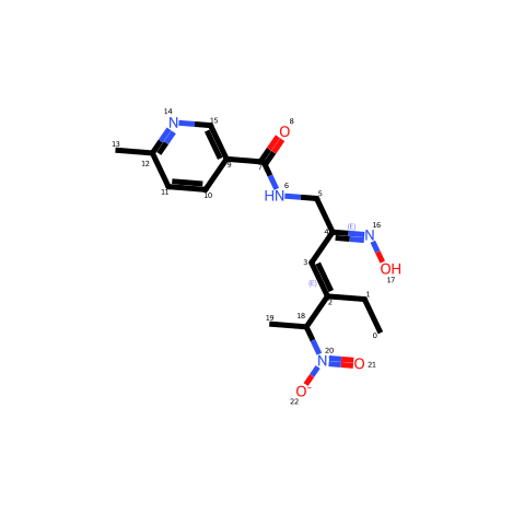 CC/C(=C\C(CNC(=O)c1ccc(C)nc1)=N/O)C(C)[N+](=O)[O-]